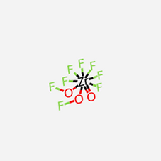 [O]=[Zr]([F])([F])([F])([F])([F])([F])([O]F)[O]F